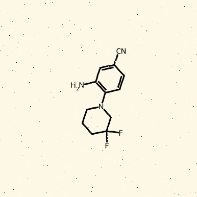 N#Cc1ccc(N2CCCC(F)(F)C2)c(N)c1